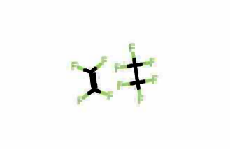 FC(F)(F)C(F)(F)F.FC(F)=C(F)F